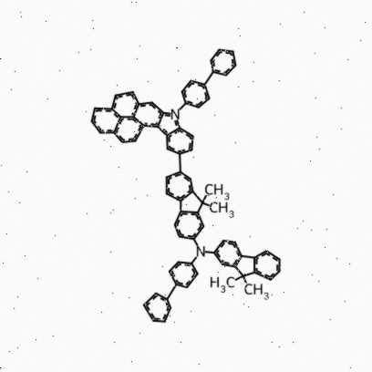 CC1(C)c2ccccc2-c2ccc(N(c3ccc(-c4ccccc4)cc3)c3ccc4c(c3)C(C)(C)c3cc(-c5ccc6c(c5)c5c7ccc8cccc9ccc(cc5n6-c5ccc(-c6ccccc6)cc5)c7c98)ccc3-4)cc21